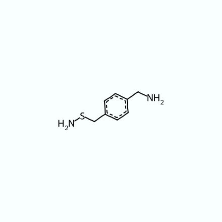 NCc1ccc(CSN)cc1